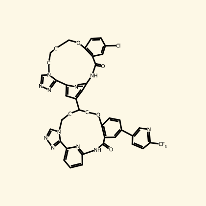 O=C1Nc2cc(C3CCn4cnnc4-c4cccc(n4)NC(=O)c4cc(-c5ccc(C(F)(F)F)nc5)ccc4OC3)cc(n2)-c2nncn2CCCCOc2ccc(Cl)cc21